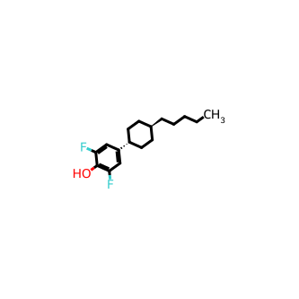 CCCCC[C@H]1CC[C@H](c2cc(F)c(O)c(F)c2)CC1